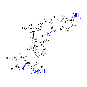 C=C1\C=C/C(c2c[nH]nc2-c2ccc(F)c(C)n2)=C/C=C/C1=C/C(=C\C)C1=CCC(C[C@H]2CCC[C@@H](N)C2)=CN=C1